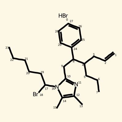 Br.C=CCC(CCC)C(Cc1nc(C)c(C)n1C(Br)CCCCC)c1ccccc1